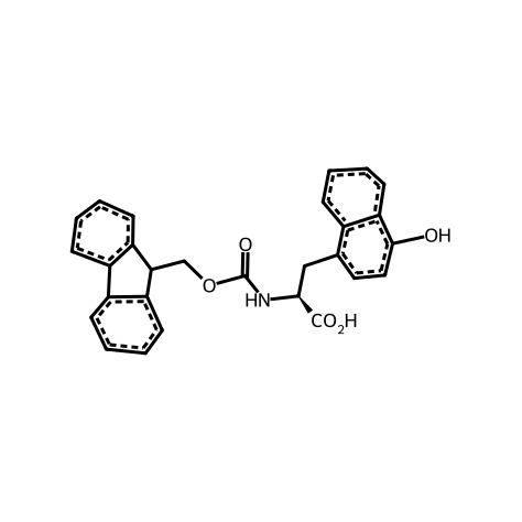 O=C(N[C@@H](Cc1ccc(O)c2ccccc12)C(=O)O)OCC1c2ccccc2-c2ccccc21